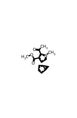 COC(=O)c1ccn(C)c1C(C)=O.c1cc2cc-2c1